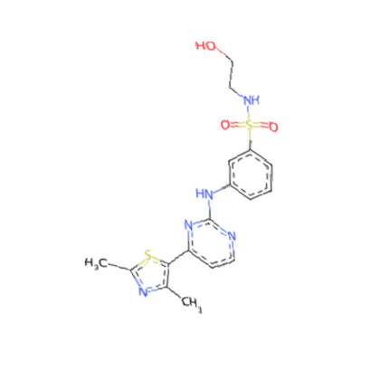 Cc1nc(C)c(-c2ccnc(Nc3cccc(S(=O)(=O)NCCO)c3)n2)s1